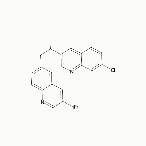 CC(C)c1cnc2ccc(CC(C)c3cnc4cc(Cl)ccc4c3)cc2c1